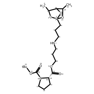 CC1O[Si]2(CCCNCCCOC(=O)[C@@H]3CCCN3C(=O)OC(C)(C)C)OC(C)C1O2